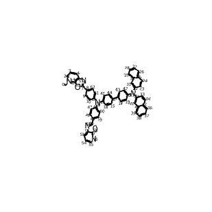 C[n+]1cccc2nc(-c3ccc(N(c4ccc(-c5ccc(N(c6ccc7ccccc7c6)c6ccc7ccccc7c6)cc5)cc4)c4ccc(-c5nc6cccnc6o5)cc4)cc3)oc21